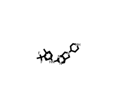 Cc1ccc(Nc2ncc3c(n2)CN(C2CCNCC2)C3)cc1C(C)(F)F